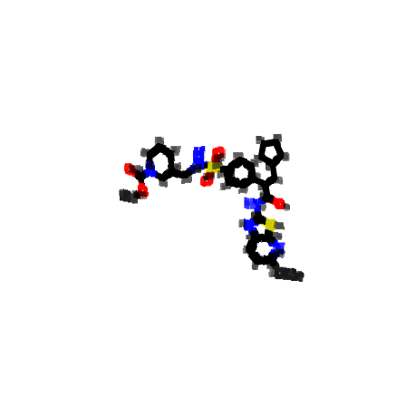 COc1ccc2nc(NC(=O)C(CC3CCCC3)c3ccc(S(=O)(=O)NCC4CCCN(C(=O)OC(C)(C)C)C4)cc3)sc2n1